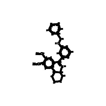 COc1cc2c(cc1OC)C1CCCCC1N=C2c1cccc(OCc2ccccc2)c1